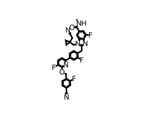 CNC(=O)c1cc(F)c2nc(Cc3ccc(-c4ccc(F)c(OCc5ccc(C#N)cc5F)n4)cc3F)n(CC3(CC#N)CC3)c2c1